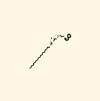 CCCCCCCCCCCCCCCCCCNC(=O)OCC(CNS(=O)(=O)CCC[n+]1cccc2ccccc21)OC.[I-]